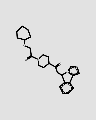 O=C(CC1c2ccccc2-c2cncn21)C1CCN(C(=O)COC2CCCCC2)CC1